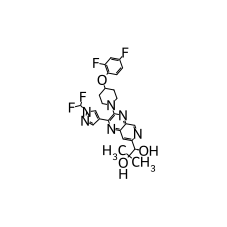 CC(C)(O)[C@H](O)c1cc2nc(-c3cnn(C(F)F)c3)c(N3CCC(Oc4ccc(F)cc4F)CC3)nc2cn1